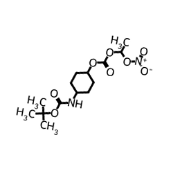 CC(OC(=O)OC1CCC(NC(=O)OC(C)(C)C)CC1)O[N+](=O)[O-]